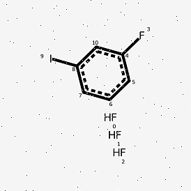 F.F.F.Fc1cccc(I)c1